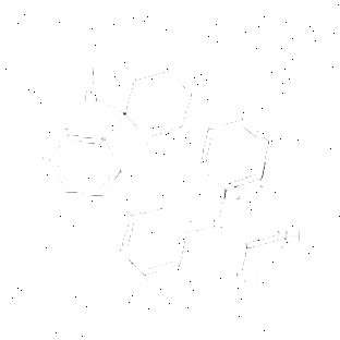 CCNC1(c2ccccc2)CCCCC1.N=C(N)N(c1ccccc1)c1ccccc1